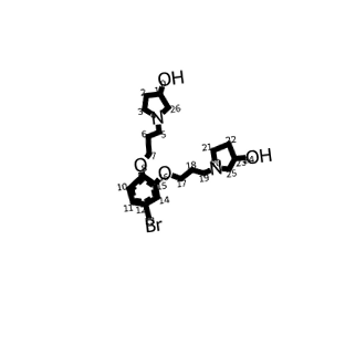 OC1CCN(CCCOc2ccc(Br)cc2OCCCN2CCC(O)C2)C1